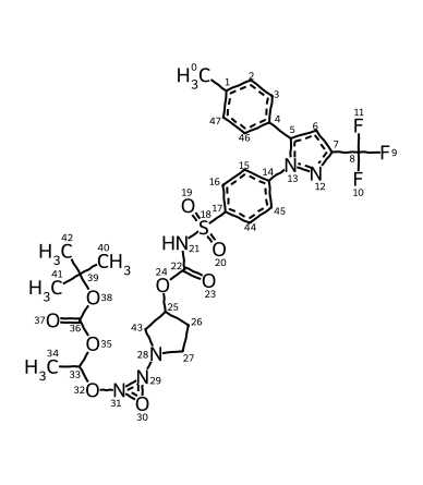 Cc1ccc(-c2cc(C(F)(F)F)nn2-c2ccc(S(=O)(=O)NC(=O)OC3CCN(n4on4OC(C)OC(=O)OC(C)(C)C)C3)cc2)cc1